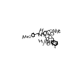 COC[C@@H]1C[C@H](NCc2ccc(OC)cc2)[C@H](CO[Si](C)(C)C(C)(C)C)N1C(=O)OCc1ccccc1